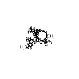 COc1cc2c(OC)cnc(O[C@@H]3C[C@H]4C(=O)N[C@]5(C(=O)NS(=O)(=O)C6(CF)CC6)C[C@H]5/C=C\CC[C@@H](C)C[C@@H](C)[C@H](NC(=O)O)C(=O)N4C3)c2cc1F